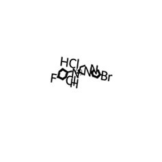 Cl.Fc1ccc(CN[C@H]2CCN(c3ccc(Br)cn3)C2)c(Cl)c1